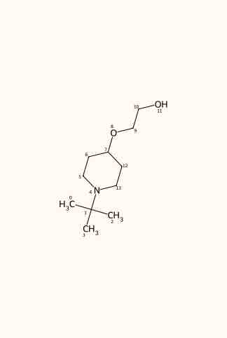 CC(C)(C)N1CCC(OCCO)CC1